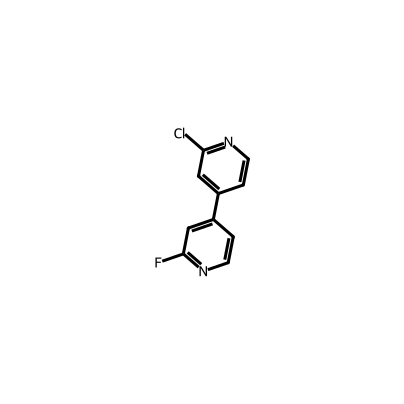 Fc1cc(-c2ccnc(Cl)c2)ccn1